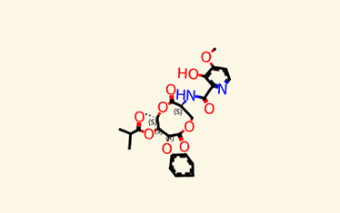 COc1ccnc(C(=O)N[C@H]2COC(=O)[C@H](Oc3ccccc3)[C@@H](OC(=O)C(C)C)[C@H](C)OC2=O)c1O